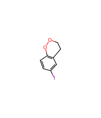 Ic1ccc2c(c1)CCOO2